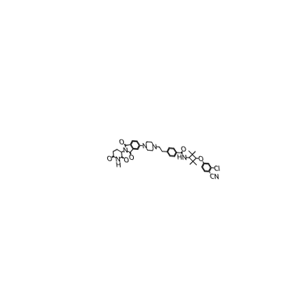 CC1(C)C(NC(=O)c2ccc(CCN3CCN(c4ccc5c(c4)C(=O)N(C4CCC(=O)NC4=O)C5=O)CC3)cc2)C(C)(C)C1Oc1ccc(C#N)c(Cl)c1